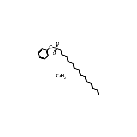 CCCCCCCCCCCCCCS(=O)(=O)Oc1ccccc1.[CaH2]